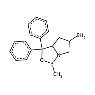 BC1CC2N(C1)B(C)OC2(c1ccccc1)c1ccccc1